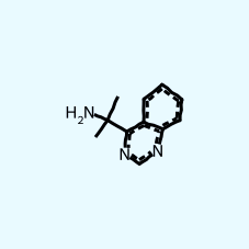 CC(C)(N)c1ncnc2ccccc12